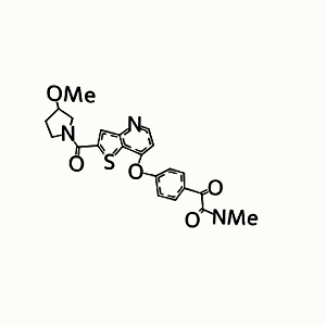 CNC(=O)C(=O)c1ccc(Oc2ccnc3cc(C(=O)N4CCC(OC)C4)sc23)cc1